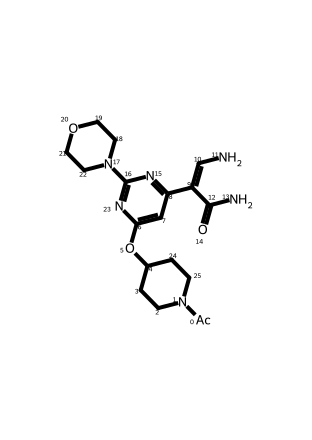 CC(=O)N1CCC(Oc2cc(/C(=C/N)C(N)=O)nc(N3CCOCC3)n2)CC1